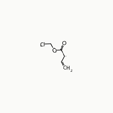 C=C[CH]C(=O)OCCl